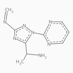 C=Nc1nc(C(C)N)n(-c2ncccn2)n1